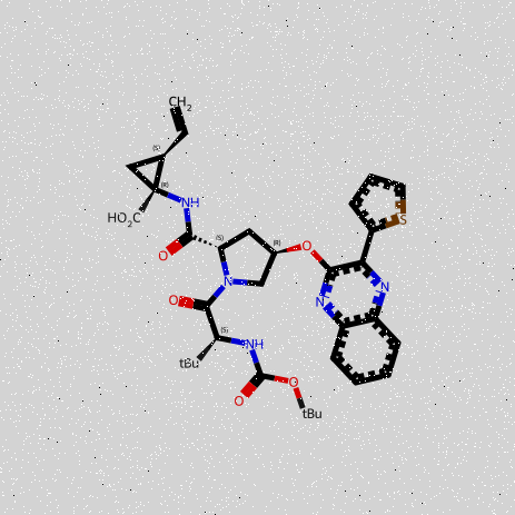 C=C[C@@H]1C[C@]1(NC(=O)[C@@H]1C[C@@H](Oc2nc3ccccc3nc2-c2cccs2)CN1C(=O)[C@@H](NC(=O)OC(C)(C)C)C(C)(C)C)C(=O)O